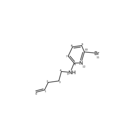 C=CCCCNc1cccc(Br)n1